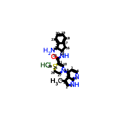 Cc1c[nH]c2nccc(N3C=C(C(=O)N[C@H]4Cc5ccccc5[C@@H]4N)SCC3)c12.Cl